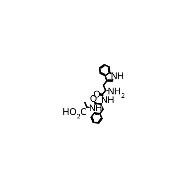 C[C@H](NC(=O)[C@H](Cc1ccccc1)NC(=O)[C@@H](N)Cc1c[nH]c2ccccc12)C(=O)O